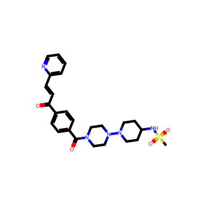 CS(=O)(=O)NC1CCN(N2CCN(C(=O)c3ccc(C(=O)C=Cc4ccccn4)cc3)CC2)CC1